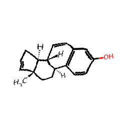 C[C@@]12C=CC[C@H]1[C@@H]1C=Cc3cc(O)ccc3[C@H]1CC2